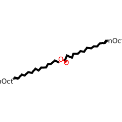 CCCCCCCCC=CCCCCCCCCCCCCOC(=O)CCCCCCCCCCCC=CCCCCCCCC